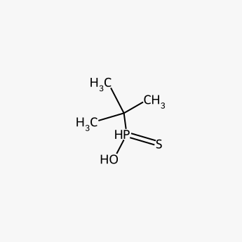 CC(C)(C)[PH](O)=S